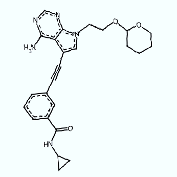 Nc1ncnc2c1c(C#Cc1cccc(C(=O)NC3CC3)c1)cn2CCOC1CCCCO1